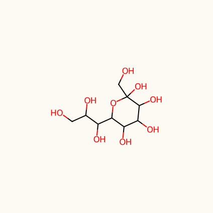 OCC(O)C(O)C1OC(O)(CO)C(O)C(O)C1O